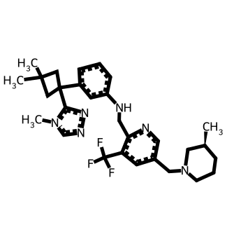 C[C@H]1CCCN(Cc2cnc(CNc3cccc(C4(c5nncn5C)CC(C)(C)C4)c3)c(C(F)(F)F)c2)C1